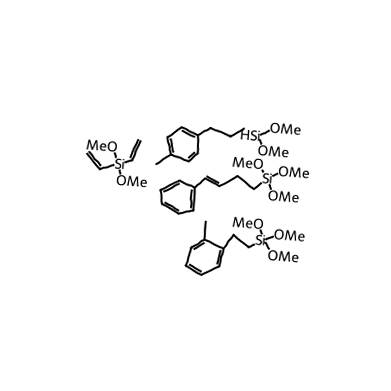 C=C[Si](C=C)(OC)OC.CO[SiH](CCCc1ccc(C)cc1)OC.CO[Si](CCC=Cc1ccccc1)(OC)OC.CO[Si](CCc1ccccc1C)(OC)OC